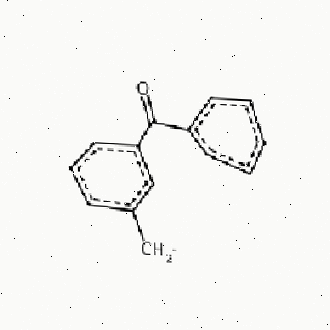 [CH2]c1cccc(C(=O)c2ccccc2)c1